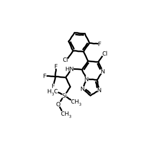 CO[Si](C)(C)CC(Nc1c(-c2c(F)cccc2Cl)c(Cl)nc2ncnn12)C(F)(F)F